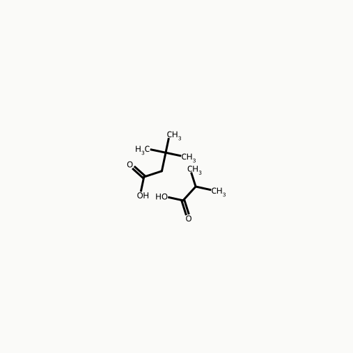 CC(C)(C)CC(=O)O.CC(C)C(=O)O